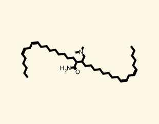 CCCCC/C=C\C/C=C\CCCCCCCCC(CN(C)C)C(CCCCCCCC/C=C\C/C=C\CCCCC)C(N)=O